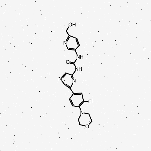 O=C(Nc1ccc(CO)nc1)Nc1cncc(-c2ccc(N3CCOCC3)c(Cl)c2)n1